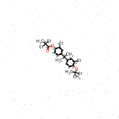 CCc1cc(C(C)(C)c2ccc(OC(C)(C)CC)c(CC)c2)ccc1OC(=O)C(C)(CC)CC